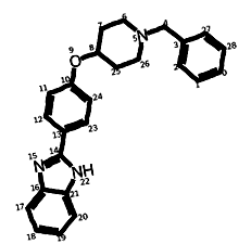 c1ccc(CN2CCC(Oc3ccc(-c4nc5ccccc5[nH]4)cc3)CC2)cc1